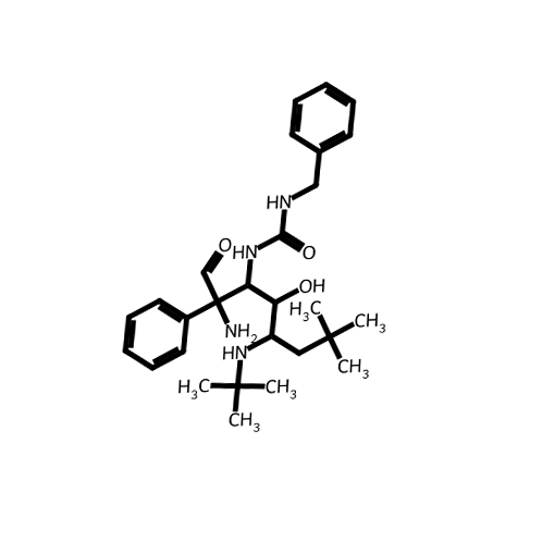 CC(C)(C)CC(NC(C)(C)C)C(O)C(NC(=O)NCc1ccccc1)C(N)(C=O)c1ccccc1